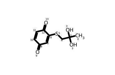 CC(O)(O)CSC1=CC(=O)C=CC1=O